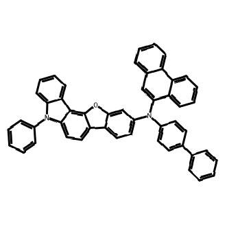 c1ccc(-c2ccc(N(c3ccc4c(c3)oc3c4ccc4c3c3ccccc3n4-c3ccccc3)c3cc4ccccc4c4ccccc34)cc2)cc1